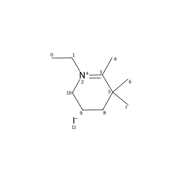 CC[N+]1=C(C)C(C)(C)CCC1.[I-]